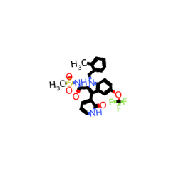 Cc1ccccc1Cn1c(C(=O)NS(C)(=O)=O)c(-c2ccc[nH]c2=O)c2cc(OC(F)(F)F)ccc21